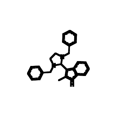 Cc1[nH]c2ccccc2c1C1N(Cc2ccccc2)CCN1Cc1ccccc1